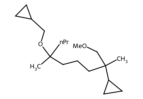 [CH2]CCC(C)(CCCC(C)(COC)C1CC1)OCC1CC1